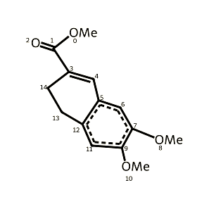 COC(=O)C1=Cc2cc(OC)c(OC)cc2CC1